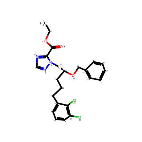 CCOC(=O)c1ncnn1C[C@H](CCCc1cccc(Cl)c1Cl)OCc1ccccc1